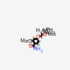 COc1cc(OCCO[Si](C)(C)C(C)(C)C)ccc1C(N)=O